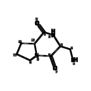 O=C1NC(CS)C(=O)N2CCCC12